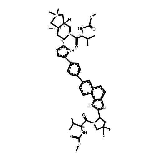 COC(=O)N[C@H](C(=O)N1CC(F)(F)CC1c1nc2ccc3cc(-c4ccc(-c5cnc([C@@H]6C[C@H]7C[Si](C)(C)C[C@@H]7CN6C(=O)[C@@H](NC(=O)OC)C(C)C)[nH]5)cc4)ccc3c2[nH]1)C(C)C